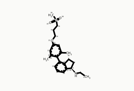 CCN[C@@H]1CCc2c(-c3c(C)cc(OCCCS(C)(=O)=O)cc3C)cccc21